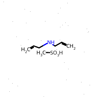 C=CCNCC=C.CS(=O)(=O)O